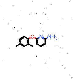 Cc1ccc(Oc2cccc(N)n2)c(C)c1